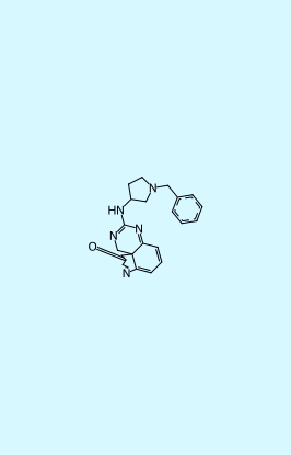 O=C1CC=NC2=CC=CC3=NC(NC4CCN(Cc5ccccc5)C4)=NCC23C1